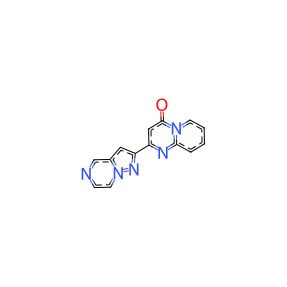 O=c1cc(-c2cc3cnccn3n2)nc2ccccn12